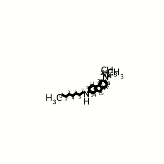 CCCCCCCCNc1ccc2c(c1)Cc1ccc(N(CC)CC)cc1-2